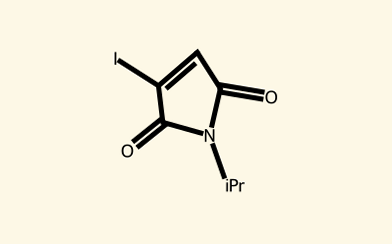 CC(C)N1C(=O)C=C(I)C1=O